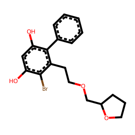 Oc1cc(O)c(-c2ccccc2)c(CCOCC2CCCO2)c1Br